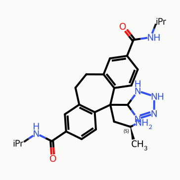 CC(C)NC(=O)c1ccc2c(c1)CCc1cc(C(=O)NC(C)C)ccc1C2(C[C@H](C)N)C1N=NNN1